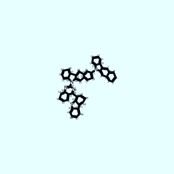 c1ccc2cc3c(cc2c1)c1ccccc1n3-c1ccc2cc3c(cc2c1)c1ccccc1n3-c1nc(-c2cccc3c2sc2ccccc23)c2ccccc2n1